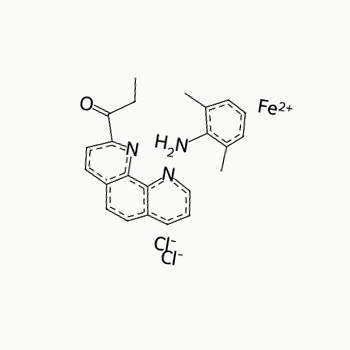 CCC(=O)c1ccc2ccc3cccnc3c2n1.Cc1cccc(C)c1N.[Cl-].[Cl-].[Fe+2]